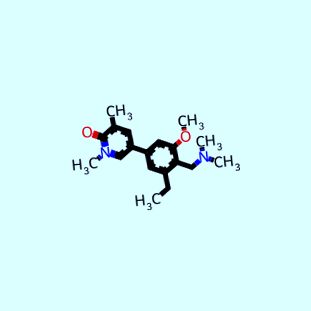 CCc1cc(-c2cc(C)c(=O)n(C)c2)cc(OC)c1CN(C)C